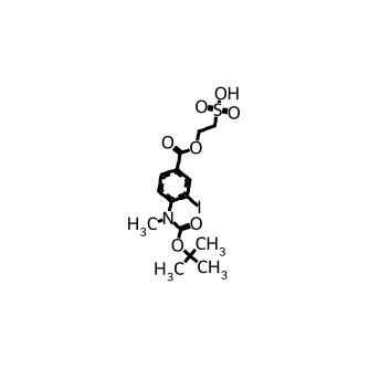 CN(C(=O)OC(C)(C)C)c1ccc(C(=O)OCCS(=O)(=O)O)cc1I